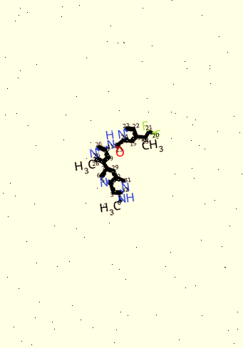 CNc1cc2ncc(-c3cc(NC(=O)c4cc([C@@H](C)C(F)F)ccn4)cnc3C)cc2cn1